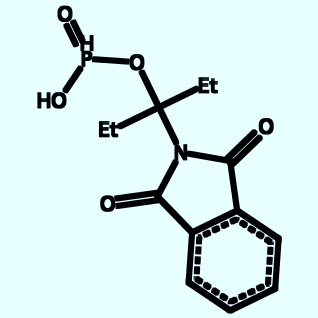 CCC(CC)(O[PH](=O)O)N1C(=O)c2ccccc2C1=O